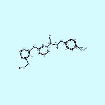 NCc1ccnc(Oc2cccc(C(=O)NCc3ccc(C(=O)O)cc3)c2)c1